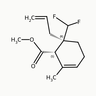 C=CC[C@]1(C(F)F)CCC=C(C)[C@@H]1C(=O)OC